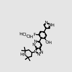 CC1(C)CC(n2nnc3cc(-c4c(O)cc(-c5cn[nH]c5)cc4F)nnc32)CC(C)(C)N1.Cl.Cl